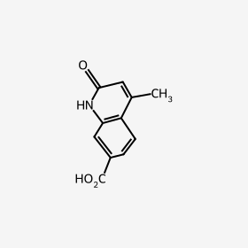 Cc1cc(=O)[nH]c2cc(C(=O)O)ccc12